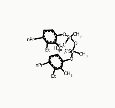 CCCc1ccc([O][Sn]([CH3])([CH3])[O][Sn]([CH3])([CH3])[O]c2ccc(CCC)c(CC)c2C)c(C)c1CC